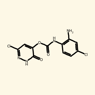 Nc1cc(Cl)ccc1NC(=O)Oc1cc(Cl)n[nH]c1=O